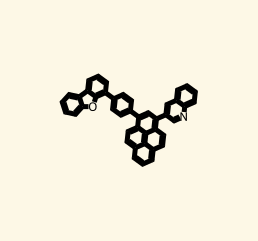 c1ccc2ncc(-c3cc(-c4ccc(-c5cccc6c5oc5ccccc56)cc4)c4ccc5cccc6ccc3c4c56)cc2c1